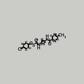 Cc1cnc(C(=O)NC23CC(NC(=O)COc4ccc(Cl)cc4)(C2)C3)cn1